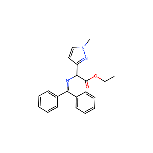 CCOC(=O)C(N=C(c1ccccc1)c1ccccc1)c1ccn(C)n1